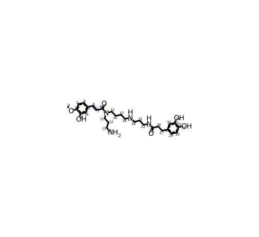 COc1ccc(/C=C/C(=O)N(CCCN)CCCCNCCCNC(=O)CCc2ccc(O)c(O)c2)cc1O